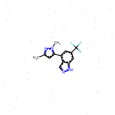 Cc1cc(-c2cc(C(F)(F)F)cc3[nH]ncc23)n(C)n1